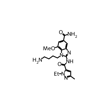 CCn1nc(C)cc1C(=O)Nc1nc2cc(C(N)=O)cc(OC)c2n1CCCCN